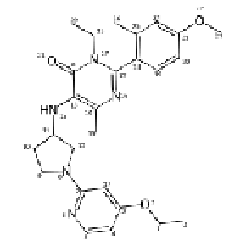 CCOc1ccnc(N2CCC(Nc3c(C)nc(-c4ccc(OC)cc4C)n(CC)c3=O)C2)c1